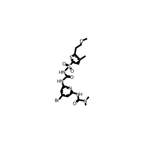 COCCc1sc(S(=O)(=O)NC(=O)Nc2cc(Br)cc(NC(=O)N(C)C)n2)cc1C